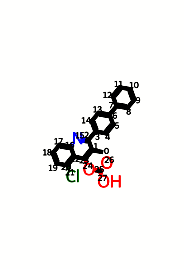 Cc1c(-c2ccc(-c3ccccc3)cc2)nc2cccc(Cl)c2c1OC(=O)O